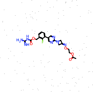 CC(=O)OCCON=C1CN(c2ncc(-c3cccc(COC(=O)NC(=N)N)c3F)cn2)C1